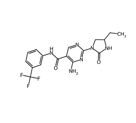 CCC1CN(c2ncc(C(=O)Nc3cccc(C(F)(F)F)c3)c(N)n2)C(=O)N1